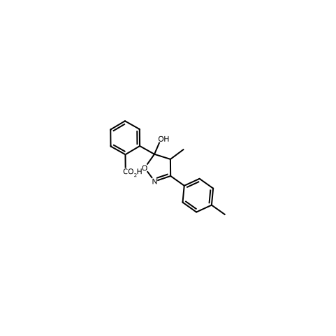 Cc1ccc(C2=NOC(O)(c3ccccc3C(=O)O)C2C)cc1